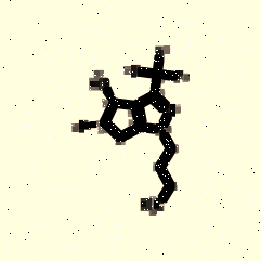 CCCCn1nc(C(F)(F)F)c2c1C[C@H](F)[C@H]2O